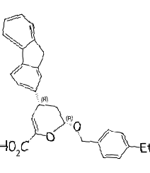 CCc1ccc(CO[C@H]2C[C@@H](c3ccc4c(c3)Cc3ccccc3-4)C=C(C(=O)O)O2)cc1